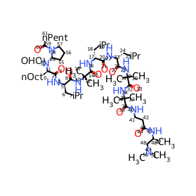 CCCCCCCC[C@H](C(=O)N[C@H](CC(C)C)C(=O)NC(C)(C)C(=O)N[C@H](CC(C)C)C(=O)N[C@H](CC(C)C)C(=O)NC(C)(C)C(=O)NC(C)(C)C(=O)NCCC(=O)N[C@@H](C)CN(C)C)N(C=O)[C@H]1CCCN1C(=O)CCCCC